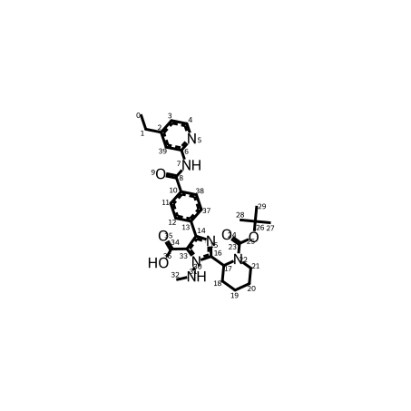 CCc1ccnc(NC(=O)c2ccc(-c3nc(C4CCCCN4C(=O)OC(C)(C)C)n(NC)c3C(=O)O)cc2)c1